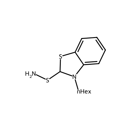 CCCCCCN1c2ccccc2SC1SN